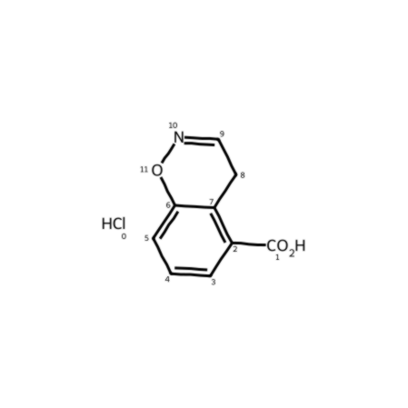 Cl.O=C(O)c1cccc2c1CC=NO2